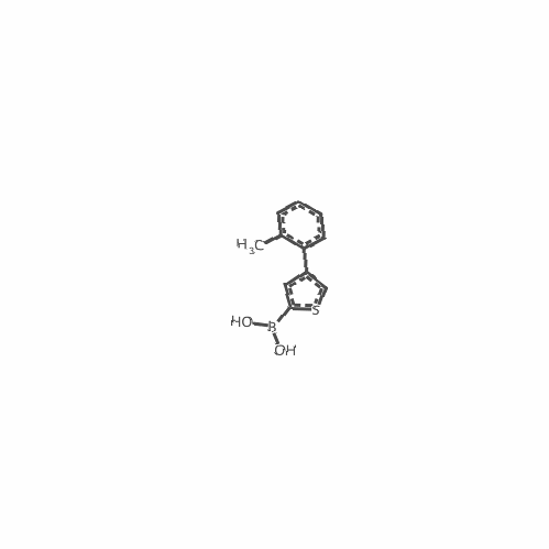 Cc1ccccc1-c1csc(B(O)O)c1